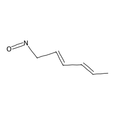 C/C=C/C=C/CN=O